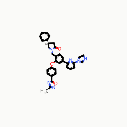 Cc1noc(-c2ccc(Oc3cc(-c4cccc(-n5ccnc5)n4)ccc3CN3C[C@H](c4ccccc4)CC3=O)cc2)n1